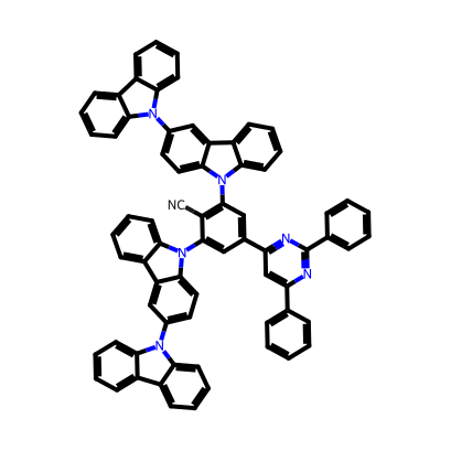 N#Cc1c(-n2c3ccccc3c3cc(-n4c5ccccc5c5ccccc54)ccc32)cc(-c2cc(-c3ccccc3)nc(-c3ccccc3)n2)cc1-n1c2ccccc2c2cc(-n3c4ccccc4c4ccccc43)ccc21